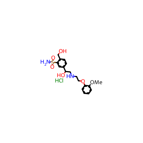 COc1ccccc1OCCNCC(O)c1ccc(CO)c(S(N)(=O)=O)c1.Cl